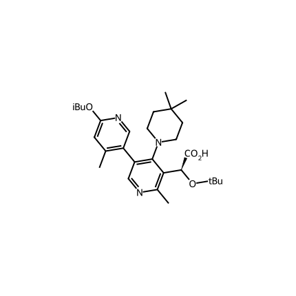 Cc1cc(OCC(C)C)ncc1-c1cnc(C)c([C@H](OC(C)(C)C)C(=O)O)c1N1CCC(C)(C)CC1